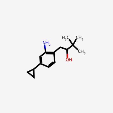 CC(C)(C)C(O)Cc1ccc(C2CC2)cc1N